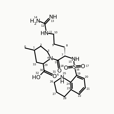 CC1CCN(C(=O)[C@H](CCCNC(=N)N)NS(=O)(=O)c2cccc3c2NCCC3)C(C(=O)O)C1